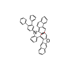 c1ccc(-c2ccc(N(c3ccccc3-c3cccc4oc5cc6ccccc6cc5c34)c3cccc4c3ccc3ccccc34)cc2-c2ccccc2)cc1